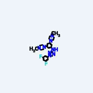 CN1CCN(c2cc(Nc3ncn(-c4cc(F)cc(F)c4)n3)cc(N3CCN(C)CC3)c2)CC1